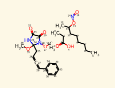 CCC(=O)O.CCCCCCC(C)ON=O.CON1C(=O)C(=O)NC1(CC=C=Cc1ccccc1)OC